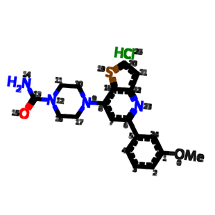 COc1cccc(-c2cc(N3CCN(C(N)=O)CC3)c3sccc3n2)c1.Cl